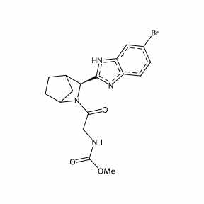 COC(=O)NCC(=O)N1C2CCC(C2)[C@H]1c1nc2ccc(Br)cc2[nH]1